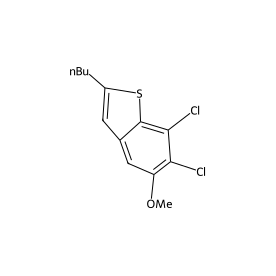 CCCCc1cc2cc(OC)c(Cl)c(Cl)c2s1